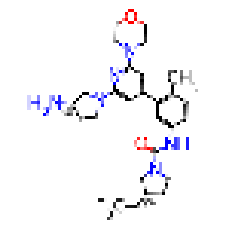 Cc1ccc(NC(=O)N2CC[C@@H](CC(F)(F)F)C2)cc1-c1cc(N2CCOCC2)nc(N2CC[C@H](N)C2)c1